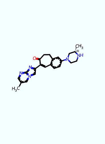 Cc1cnc2nc(C3=Cc4ccc(N5CCN[C@@H](C)C5)cc4CCC3=O)cn2c1